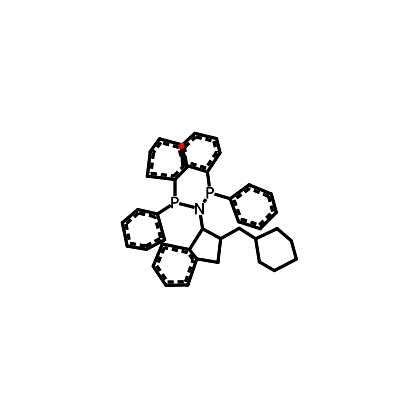 c1ccc(P(c2ccccc2)N(C2c3ccccc3CC2CC2CCCCC2)P(c2ccccc2)c2ccccc2)cc1